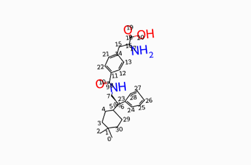 CC1(C)CCC([C@@H](CNC(=O)c2ccc(CC(N)C(=O)O)cc2)c2ccccc2)CC1